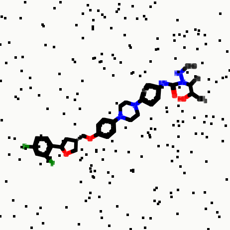 CCC(C(C)O)N(NC=O)C(=O)Nc1ccc(N2CCN(c3ccc(OC[C@@H]4COC(c5ccc(F)cc5F)C4)cc3)CC2)cc1